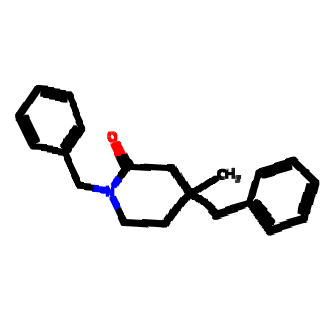 CC1(Cc2ccccc2)CCN(Cc2ccccc2)C(=O)C1